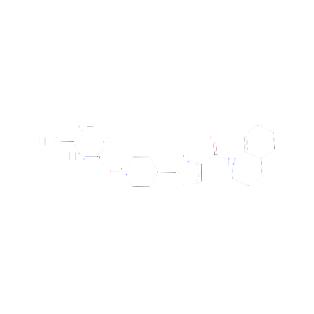 CC(C)NC(=O)ON1CCC(c2nc(C(=O)N3CCCC4CCCC=C43)cs2)CC1